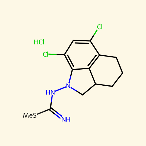 CSC(=N)NN1CC2CCCc3c(Cl)cc(Cl)c1c32.Cl